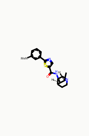 CNc1cccc(-c2ncc(C(=O)N[C@@H]3C4CCN(CC4)[C@H]3C)s2)c1